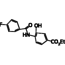 CCOC(=O)c1ccc(NC(=O)c2ccc(F)cc2)c(O)c1